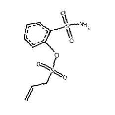 C=CCS(=O)(=O)Oc1ccccc1S(N)(=O)=O